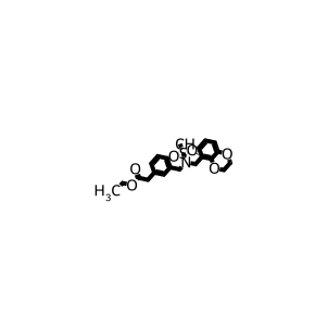 CCOC(=O)Cc1cccc(CN(Cc2cccc3c2OCCO3)S(C)(=O)=O)c1